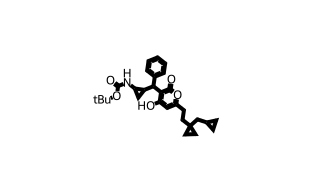 CC(C)(C)OC(=O)NC1CC1C(c1ccccc1)c1c(O)cc(CCC2(CC3CC3)CC2)oc1=O